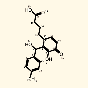 Cc1ccc(C(O)c2c(O)c(=O)ccn2CCCC(=O)O)cc1